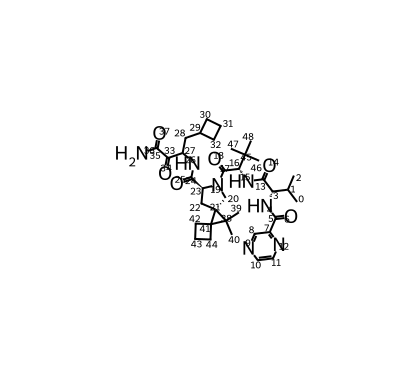 CC(C)[C@H](NC(=O)c1cnccn1)C(=O)N[C@H](C(=O)N1C[C@]2(C[C@H]1C(=O)NC(CC1CCC1)C(=O)C(N)=O)C(C)(C)C21CCC1)C(C)(C)C